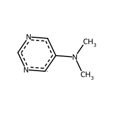 CN(C)c1[c]ncnc1